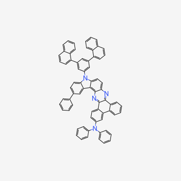 c1ccc(-c2ccc3c(c2)c2c4nc5c6ccc(N(c7ccccc7)c7ccccc7)cc6c6ccccc6c5nc4ccc2n3-c2cc(-c3cccc4ccccc34)cc(-c3cccc4ccccc34)c2)cc1